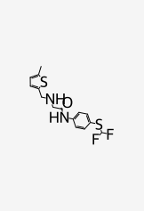 Cc1ccc(CNCC(=O)Nc2ccc(SC(F)F)cc2)s1